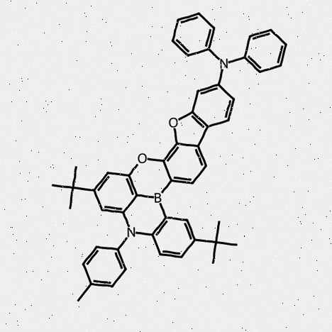 Cc1ccc(N2c3ccc(C(C)(C)C)cc3B3c4ccc5c(oc6cc(N(c7ccccc7)c7ccccc7)ccc65)c4Oc4cc(C(C)(C)C)cc2c43)cc1